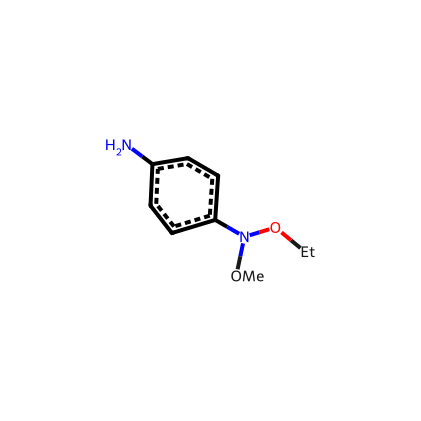 CCON(OC)c1ccc(N)cc1